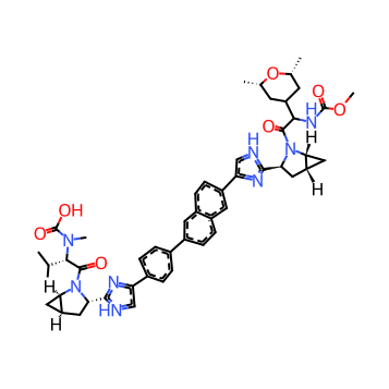 COC(=O)NC(C(=O)N1[C@@H]2C[C@@H]2C[C@H]1c1nc(-c2ccc3cc(-c4ccc(-c5c[nH]c([C@@H]6C[C@H]7C[C@H]7N6C(=O)[C@H](C(C)C)N(C)C(=O)O)n5)cc4)ccc3c2)c[nH]1)C1C[C@@H](C)O[C@@H](C)C1